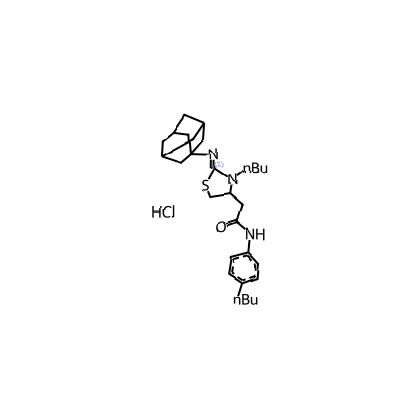 CCCCc1ccc(NC(=O)CC2CS/C(=N\C34CC5CC(CC(C5)C3)C4)N2CCCC)cc1.Cl